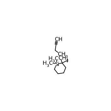 C#CCC.CC1(I)CCCC[Si]1(C)C